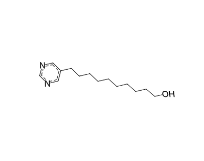 OCCCCCCCCCCc1cncnc1